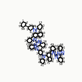 c1ccc(-c2ccc(N(c3ccccc3)c3cc4c5ccccc5n(-c5nc6cccc(-c7cccc(N(c8ccccc8)c8cc9c%10ccccc%10n(-c%10nc%11ccccc%11c%11nc%12ccccc%12n%10%11)c9c9ccccc89)c7)c6c6nc7ccccc7n56)c4c4ccccc34)cc2)cc1